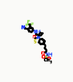 CS(=O)(=O)NC(=O)CCCc1ccc(N(C=S)C2(C(=O)Nc3ccc(C#N)c(C(F)(F)F)c3)CCC2)cc1